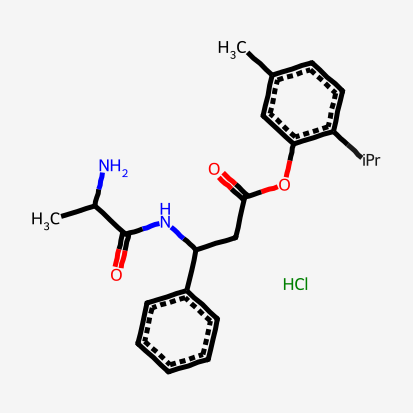 Cc1ccc(C(C)C)c(OC(=O)CC(NC(=O)C(C)N)c2ccccc2)c1.Cl